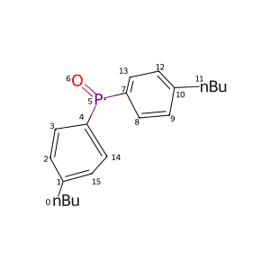 CCCCc1ccc([P](=O)c2ccc(CCCC)cc2)cc1